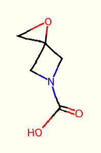 O=C(O)N1CC2(CO2)C1